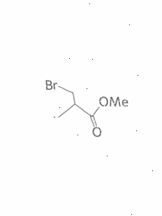 [CH2]C(CBr)C(=O)OC